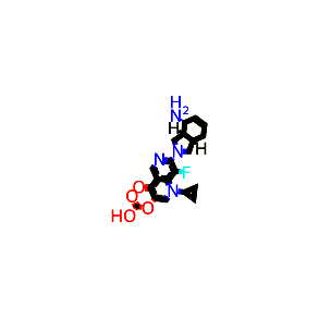 N[C@@H]1C=CC[C@@H]2CN(c3ncc4c(=O)c(OC(=O)O)cn(C5CC5)c4c3F)C[C@@H]21